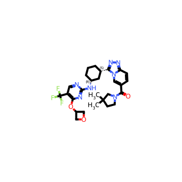 CC1(C)CCN(C(=O)c2ccc3nnc([C@H]4CCC[C@@H](Nc5ncc(C(F)(F)F)c(OC6COC6)n5)C4)n3c2)C1